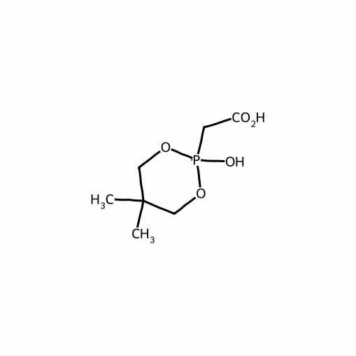 CC1(C)CO[P](O)(CC(=O)O)OC1